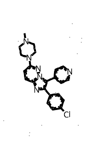 CN1CCN(c2ccc3nc(-c4ccc(Cl)cc4)c(-c4ccncc4)n3n2)CC1